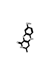 COc1ccc2c(c1)SC1=C(CC(C)NC1=O)N2